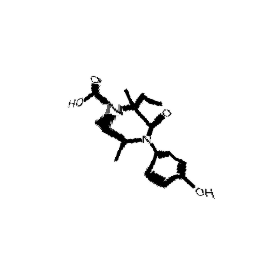 CCC1(C)C(=O)N(c2ccc(O)cc2)C(C)CN1C(=O)O